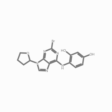 Oc1ccc(Nc2nc(Br)nc3c2ncn3C2CCCO2)c(O)c1